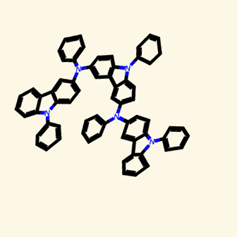 C1=CCCC(n2c3ccc(N(c4ccccc4)c4ccc5c(c4)c4ccccc4n5-c4ccccc4)cc3c3cc(N(c4ccccc4)c4ccc5c(c4)c4ccccc4n5-c4ccccc4)ccc32)=C1